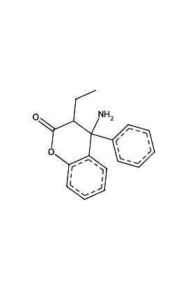 CCC1C(=O)Oc2ccccc2C1(N)c1ccccc1